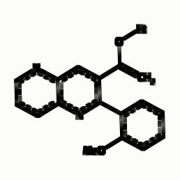 C=C(OCC)c1cc2ncccc2nc1-c1ccccc1OC